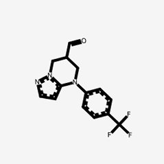 O=CC1CN(c2ccc(C(F)(F)F)cc2)c2ccnn2C1